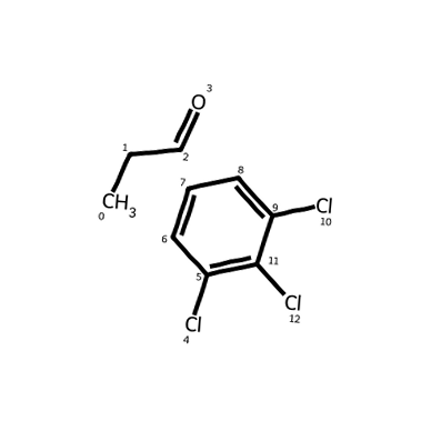 CCC=O.Clc1cccc(Cl)c1Cl